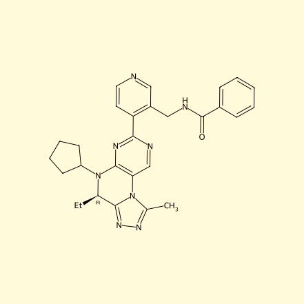 CC[C@@H]1c2nnc(C)n2-c2cnc(-c3ccncc3CNC(=O)c3ccccc3)nc2N1C1CCCC1